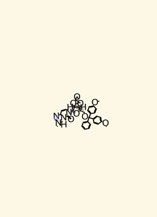 COc1ccc(C(OC[C@H]2O[C@@H](N3C=CC(/N=C\N(C)C)NC3=O)[C@@H]3OS(=O)O[C@@H]32)(c2ccccc2)c2ccc(OC)cc2)cc1